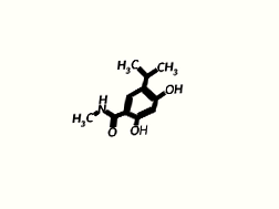 CNC(=O)c1cc(C(C)C)c(O)cc1O